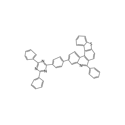 c1ccc(-c2nc(-c3ccccc3)nc(-c3ccc(-c4ccc5c(c4)nc(-c4ccccc4)c4ccc6sc7ccccc7c6c45)cc3)n2)cc1